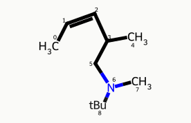 C/C=C\C(C)CN(C)C(C)(C)C